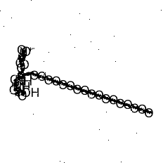 COCCOCCOCCOCCOCCOCCOCCOCCOCCOCCOCCOCCOCCOCCOCCOCCOCC#Cc1cc(NC(=O)[C@H](C)NC(=O)[C@@H](NC(=O)O)C(C)C)ccc1COC(=O)Oc1ccc([N+](=O)[O-])cc1